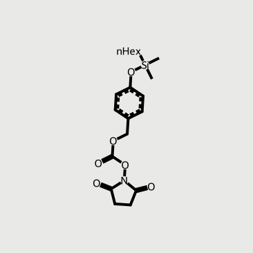 CCCCCC[Si](C)(C)Oc1ccc(COC(=O)ON2C(=O)CCC2=O)cc1